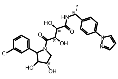 C[C@@H](NC(=O)[C@H](O)[C@@H](O)C(=O)N1C[C@H](O)C(O)C1c1cccc(Cl)c1)c1ccc(-n2cccn2)cc1